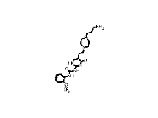 NCCCN1CCN(CCc2c[nH]c(NC(=O)Nc3ccccc3OC(F)(F)F)nc2=O)CC1